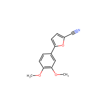 COc1ccc(-c2ccc(C#N)o2)cc1OC